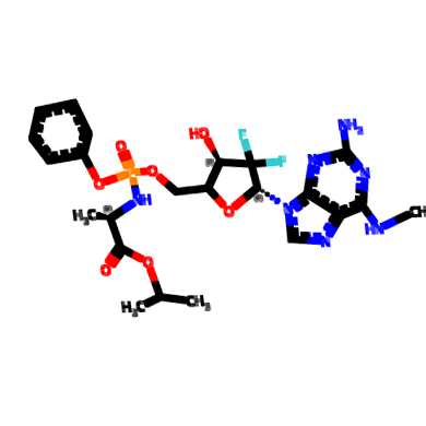 CNc1nc(N)nc2c1ncn2[C@@H]1OC(COP(=O)(N[C@H](C)C(=O)OC(C)C)Oc2ccccc2)[C@@H](O)C1(F)F